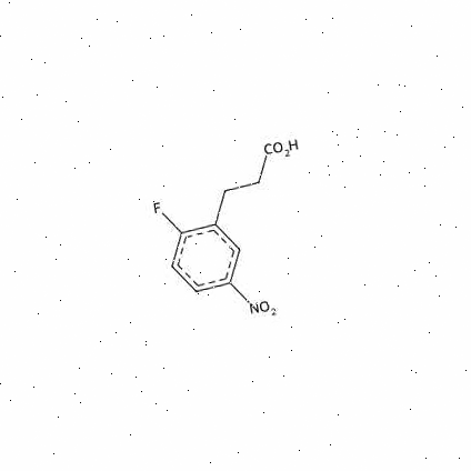 O=C(O)CCc1cc([N+](=O)[O-])ccc1F